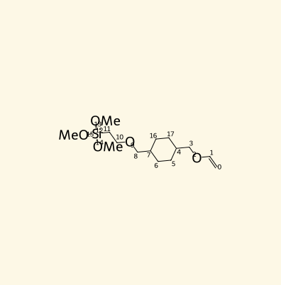 C=COCC1CCC(COCC[Si](OC)(OC)OC)CC1